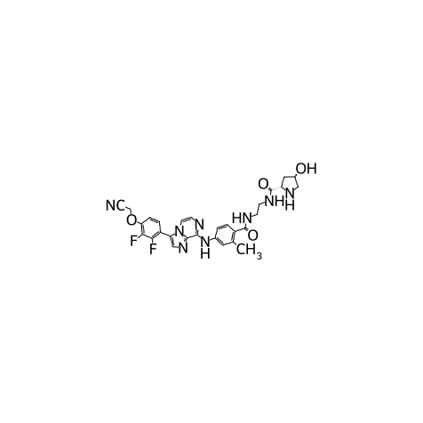 Cc1cc(Nc2nccn3c(-c4ccc(OCC#N)c(F)c4F)cnc23)ccc1C(=O)NCCNC(=O)[C@@H]1C[C@@H](O)CN1